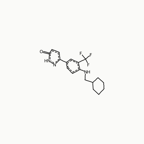 O=c1ccc(-c2ccc(NCC3CCCCC3)c(C(F)(F)F)c2)n[nH]1